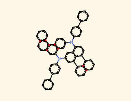 c1ccc(-c2ccc(N(c3ccc(-c4ccccc4)cc3)c3cc(-c4ccccc4)c4c(-c5ccccc5)ccc(N(c5ccc(-c6ccccc6)cc5)c5ccc(-c6ccccc6)cc5)c4c3)cc2)cc1